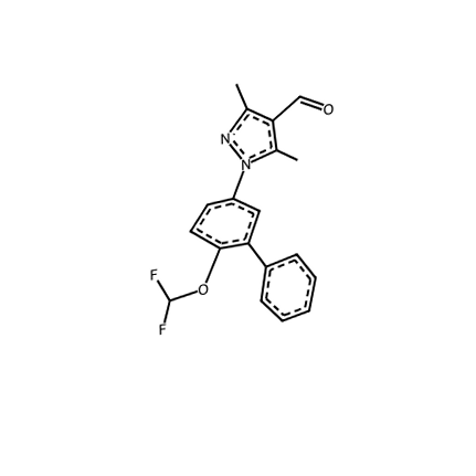 Cc1nn(-c2ccc(OC(F)F)c(-c3ccccc3)c2)c(C)c1C=O